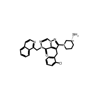 N[C@@H]1CCCN(c2nn3cnn(Cc4nccc5ccccc45)c(=O)c3c2Cc2ccccc2Cl)C1